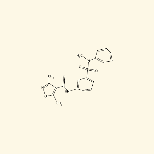 Cc1noc(C)c1C(=O)Nc1cccc(S(=O)(=O)N(C)c2ccccc2)c1